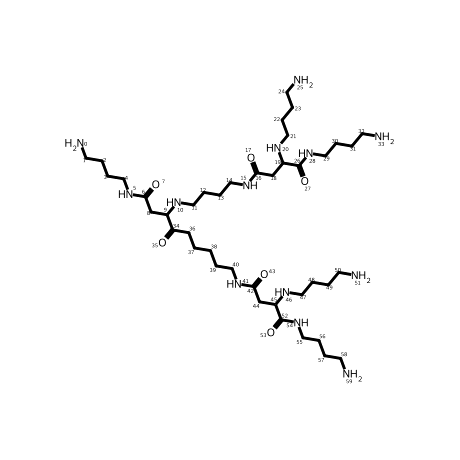 NCCCCNC(=O)CC(NCCCCNC(=O)CC(NCCCCN)C(=O)NCCCCN)C(=O)CCCCCNC(=O)CC(NCCCCN)C(=O)NCCCCN